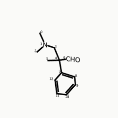 CN(C)CC(C)(C=O)c1cc[c]cc1